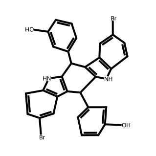 Oc1cccc(C2c3[nH]c4ccc(Br)cc4c3C(c3cccc(O)c3)c3[nH]c4ccc(Br)cc4c32)c1